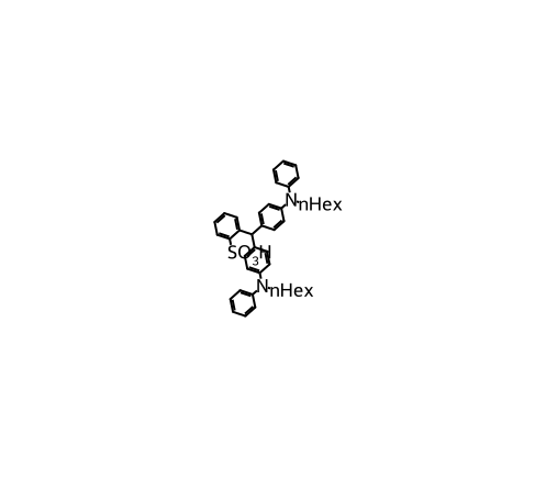 CCCCCCN(c1ccccc1)c1ccc(C(c2ccc(N(CCCCCC)c3ccccc3)cc2)c2ccccc2S(=O)(=O)O)cc1